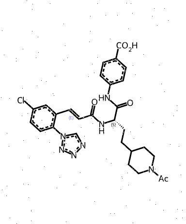 CC(=O)N1CCC(CC[C@H](NC(=O)/C=C/c2cc(Cl)ccc2-n2cnnn2)C(=O)Nc2ccc(C(=O)O)cc2)CC1